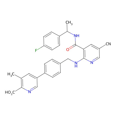 Cc1cc(-c2ccc(CNc3ncc(C#N)cc3C(=O)NC(C)c3ccc(F)cc3)cc2)cnc1C(=O)O